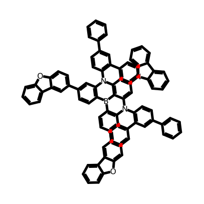 c1ccc(-c2ccc(N3c4cc(-c5ccc6oc7ccccc7c6c5)ccc4B4c5ccc(-c6ccc7oc8ccccc8c7c6)cc5N(c5ccc(-c6ccccc6)cc5-c5ccccc5)c5cc(-n6c7ccccc7c7ccccc76)cc3c54)c(-c3ccccc3)c2)cc1